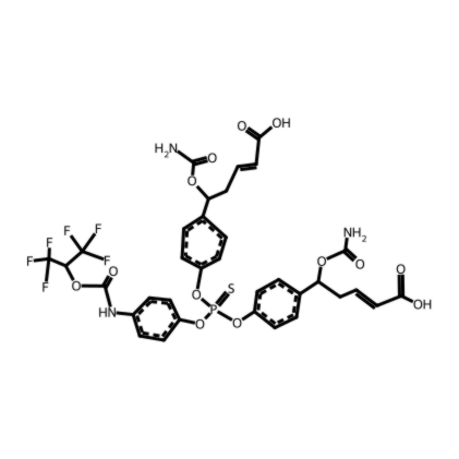 NC(=O)OC(CC=CC(=O)O)c1ccc(OP(=S)(Oc2ccc(NC(=O)OC(C(F)(F)F)C(F)(F)F)cc2)Oc2ccc(C(CC=CC(=O)O)OC(N)=O)cc2)cc1